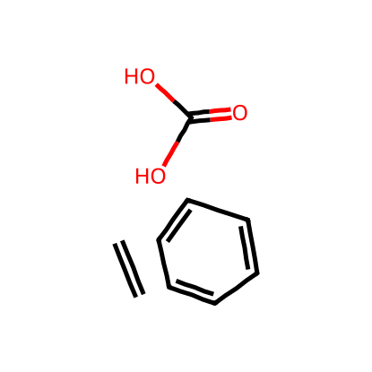 C=C.O=C(O)O.c1ccccc1